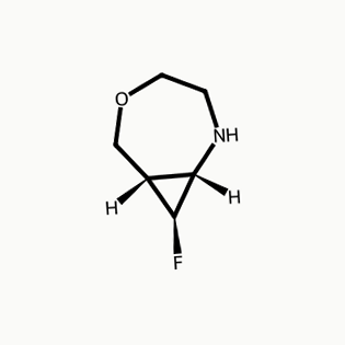 F[C@H]1[C@@H]2COCCN[C@H]12